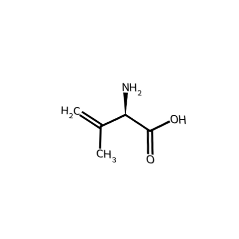 C=C(C)[C@@H](N)C(=O)O